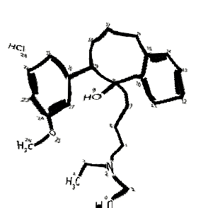 CCN(CC)CCCC1(O)c2ccccc2CCCC1c1cccc(OC)c1.Cl